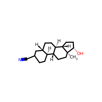 C[C@]12CC[C@H]3[C@@H](CC[C@H]4CC(C#N)CC[C@@H]43)[C@@H]1CC[C@@H]2O